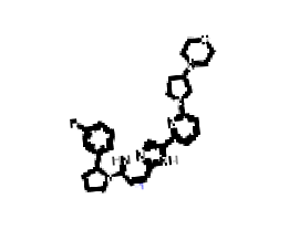 N=C(/C=C\c1ncc(-c2cccc(N3CCC(N4CCOCC4)C3)n2)[nH]1)N1CCCC1c1cccc(F)c1